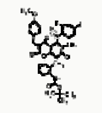 COc1ccc(CN(C=O)C(=O)c2c(Oc3cccc(NC(=O)OC(C)(C)C)c3C)cc(=O)n(C)c2N(C)c2ccc(I)cc2F)cc1